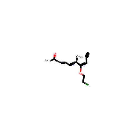 C#C\C=C(OCCCl)/C(=C/C=C/C(=O)OC)OC